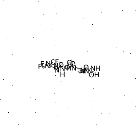 Cn1c(-c2cn(C3CC3(F)F)nc2C(F)(F)F)cnc1C(=O)Nc1ccc(C(=O)NCC2CCCN(C(=O)N[C@H]3CNC[C@@H]3O)C2)c(Cl)c1